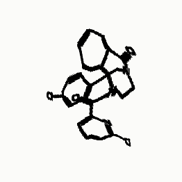 O=C(c1cccc(Cl)n1)N1CCN2C(=O)c3ccccc3C12c1ccc(Cl)cc1